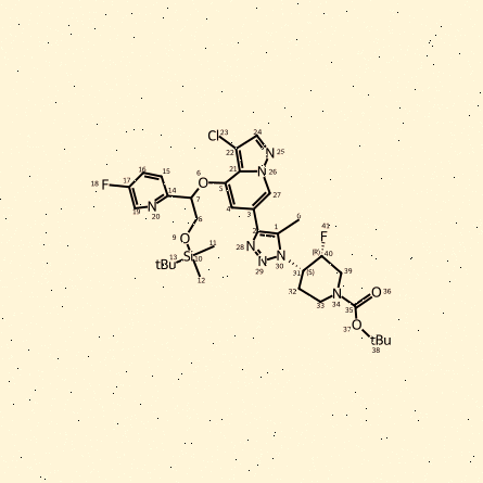 Cc1c(-c2cc(OC(CO[Si](C)(C)C(C)(C)C)c3ccc(F)cn3)c3c(Cl)cnn3c2)nnn1[C@H]1CCN(C(=O)OC(C)(C)C)C[C@H]1F